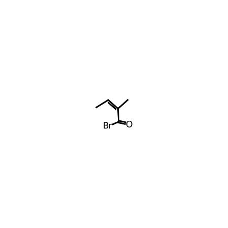 CC=C(C)C(=O)Br